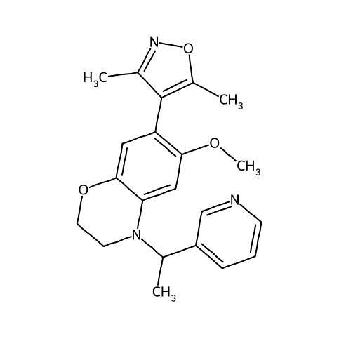 COc1cc2c(cc1-c1c(C)noc1C)OCCN2C(C)c1cccnc1